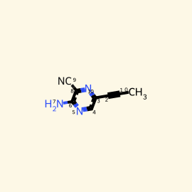 CC#Cc1cnc(N)c(C#N)n1